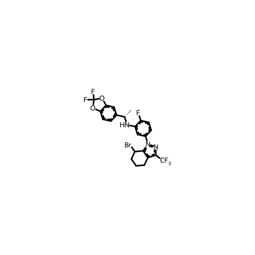 C[C@H](Nc1cc(-n2nc(C(F)(F)F)c3c2C(Br)CCC3)ccc1F)c1ccc2c(c1)OC(F)(F)O2